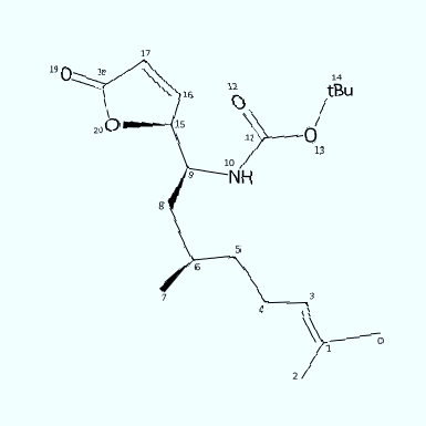 CC(C)=CCC[C@@H](C)C[C@H](NC(=O)OC(C)(C)C)[C@@H]1C=CC(=O)O1